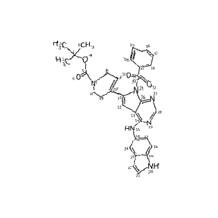 CC(C)(C)OC(=O)N1CC=C(c2cc3c(Nc4ccc5[nH]ccc5c4)ncnc3n2S(=O)(=O)c2ccccc2)CC1